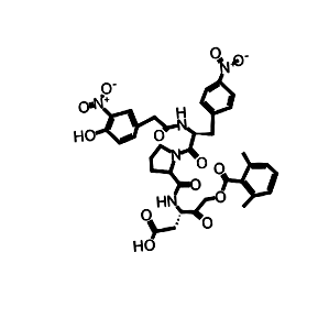 Cc1cccc(C)c1C(=O)OCC(=O)[C@H](CC(=O)O)NC(=O)C1CCCN1C(=O)[C@H](Cc1ccc([N+](=O)[O-])cc1)NC(=O)Cc1ccc(O)c([N+](=O)[O-])c1